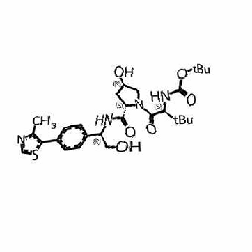 Cc1ncsc1-c1ccc([C@H](CO)NC(=O)[C@@H]2C[C@@H](O)CN2C(=O)[C@@H](NC(=O)OC(C)(C)C)C(C)(C)C)cc1